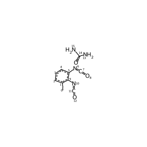 Cc1cccc(N=C=O)c1N=C=O.NC(N)=O